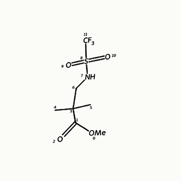 COC(=O)C(C)(C)CNS(=O)(=O)C(F)(F)F